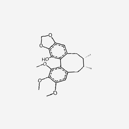 COc1cc2c(c(OC)c1OC)-c1c(cc3c(c1O)OCO3)C[C@H](C)[C@H](C)C2